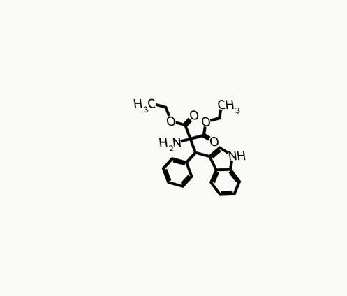 CCOC(=O)C(N)(C(=O)OCC)C(c1ccccc1)c1c[nH]c2ccccc12